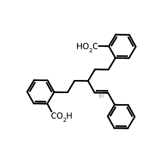 O=C(O)c1ccccc1CCC(/C=C/c1ccccc1)CCc1ccccc1C(=O)O